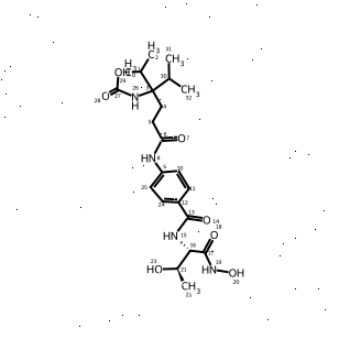 CC(C)C(CCC(=O)Nc1ccc(C(=O)N[C@H](C(=O)NO)[C@@H](C)O)cc1)(NC(=O)O)C(C)C